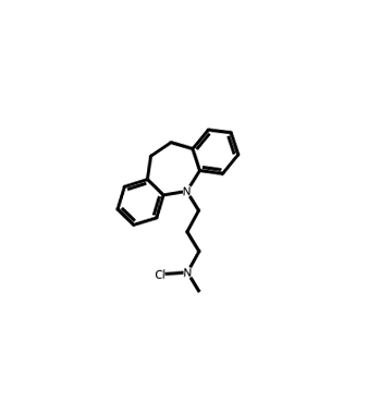 CN(Cl)CCCN1c2ccccc2CCc2ccccc21